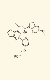 COc1ccc2c(c1)CCN2C(O)CN(C)c1nc(-c2cc(OCCO)ccn2)nc2c1CCC2